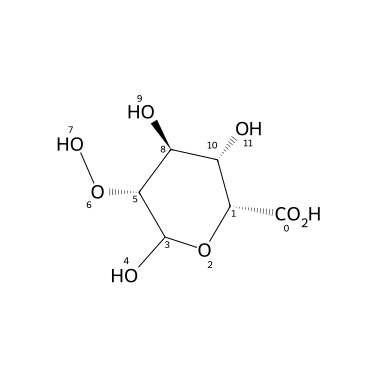 O=C(O)[C@@H]1OC(O)[C@H](OO)[C@@H](O)[C@@H]1O